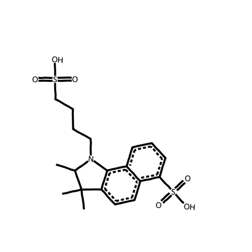 CC1N(CCCCS(=O)(=O)O)c2c(ccc3c(S(=O)(=O)O)cccc23)C1(C)C